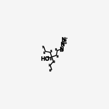 CCCC(O)(CCC)CCN=[N+]=[N-]